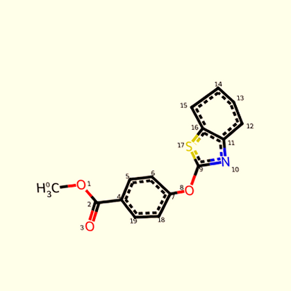 COC(=O)c1ccc(Oc2nc3ccccc3s2)cc1